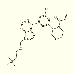 C=CC(=O)N1CCOCC1c1cc(Cl)cc(-c2nccc3c2ccn3COCCS(C)(C)C)c1